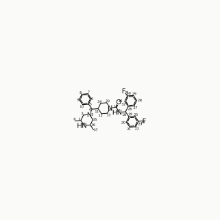 CC1CN(C(c2ccccc2)C2CCN(C(=O)NC(c3cccc(F)c3)c3cccc(F)c3)CC2)CC(C)N1